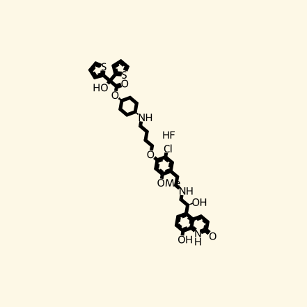 COc1cc(OCCCCN[C@H]2CC[C@H](OC(=O)C(O)(c3cccs3)c3cccs3)CC2)c(Cl)cc1CCNC[C@H](O)c1ccc(O)c2[nH]c(=O)ccc12.F